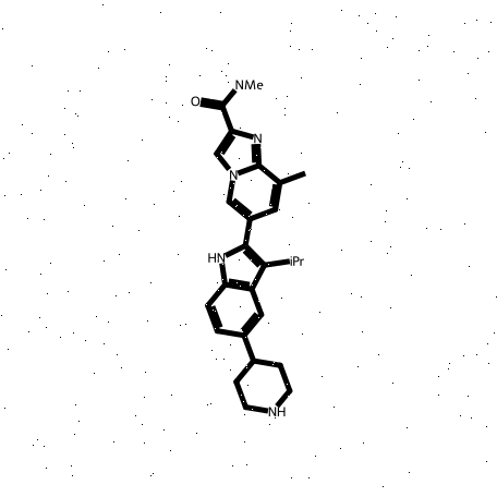 CNC(=O)c1cn2cc(-c3[nH]c4ccc(C5CCNCC5)cc4c3C(C)C)cc(C)c2n1